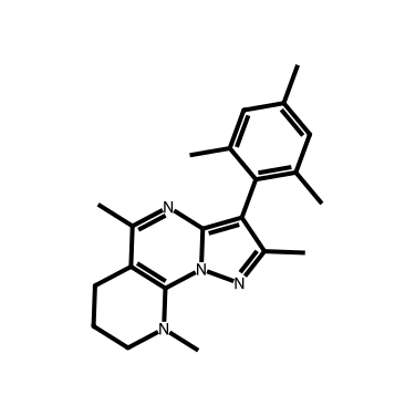 Cc1cc(C)c(-c2c(C)nn3c4c(c(C)nc23)CCCN4C)c(C)c1